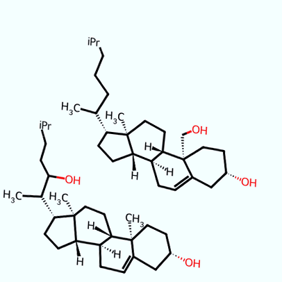 CC(C)CCC(O)C(C)[C@H]1CC[C@H]2[C@@H]3CC=C4C[C@@H](O)CC[C@]4(C)[C@H]3CC[C@]12C.CC(C)CCCC(C)[C@H]1CC[C@H]2[C@@H]3CC=C4C[C@@H](O)CC[C@]4(CO)[C@H]3CC[C@]12C